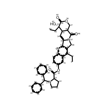 CCc1c2c(nc3ccc(OC(=O)C4CCCN4C(c4ccccc4)c4ccccc4)cc13)C1=CC3C(COC(=O)[C@]3(O)CC)C(=O)N1C2